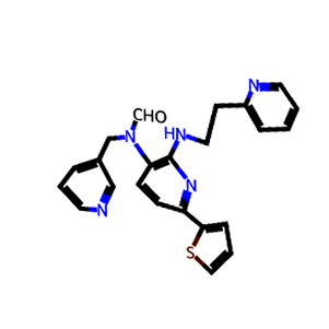 O=CN(Cc1cccnc1)c1ccc(-c2cccs2)nc1NCCc1ccccn1